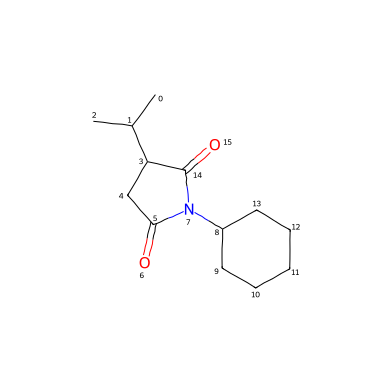 CC(C)C1CC(=O)N(C2CCCCC2)C1=O